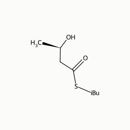 CCC(C)SC(=O)C[C@@H](C)O